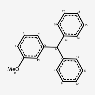 COc1cccc(C(c2ccccc2)c2ccccc2)c1